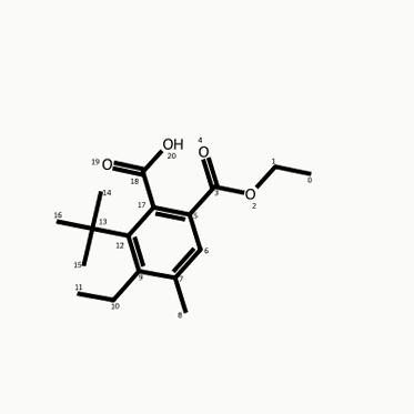 CCOC(=O)c1cc(C)c(CC)c(C(C)(C)C)c1C(=O)O